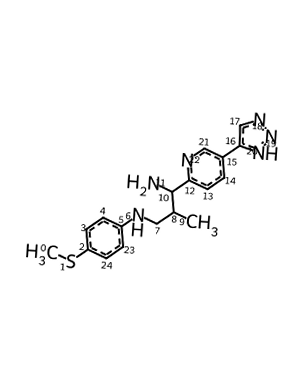 CSc1ccc(NCC(C)C(N)c2ccc(-c3cnn[nH]3)cn2)cc1